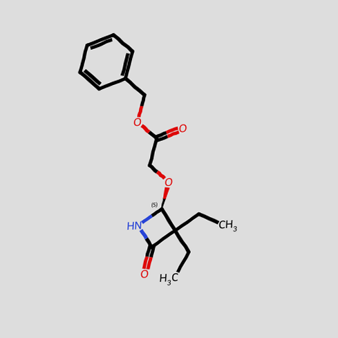 CCC1(CC)C(=O)N[C@H]1OCC(=O)OCc1ccccc1